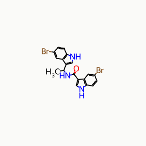 CC(NC(=O)c1c[nH]c2ccc(Br)cc12)c1c[nH]c2ccc(Br)cc12